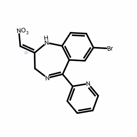 O=[N+]([O-])/C=C1/CN=C(c2ccccn2)c2cc(Br)ccc2N1